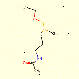 CCOSP(C)CCCNC(C)=O